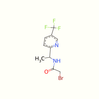 CC(NC(=O)CBr)c1ccc(C(F)(F)F)cn1